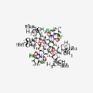 CC(C)(C)CC(C)(C)c1ccc(Oc2cc3c4c(cc(Oc5ccc(C(C)(C)CC(C)(C)C)cc5)c5c6c(Oc7ccc(C(C)(C)CC(C)(C)C)cc7)cc7c8c(cc(Oc9ccc(C(C)(C)CC(C)(C)C)cc9)c(c2c45)c86)C(=O)N(c2c(Br)cccc2Br)C7=O)C(=O)N(c2c(Br)cccc2Br)C3=O)cc1